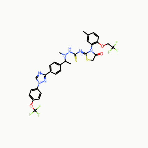 Cc1ccc(OCC(F)(F)F)c(N2C(=O)CS/C2=N\C(=S)NN(C)C(C)c2ccc(-c3ncn(-c4ccc(OC(F)(F)F)cc4)n3)cc2)c1